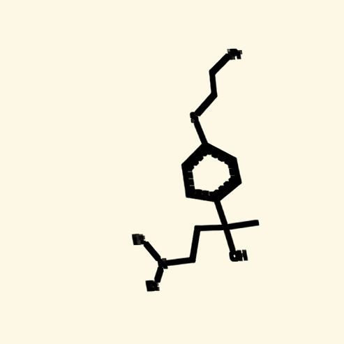 CCN(CC)CCC(C)(O)c1ccc(SCCC(C)C)cc1